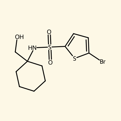 O=S(=O)(NC1(CO)CCCCC1)c1ccc(Br)s1